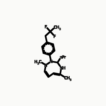 CCCC1N/C(C)=C/C=C\N(C)N1c1ccc(CC(C)(F)F)cc1